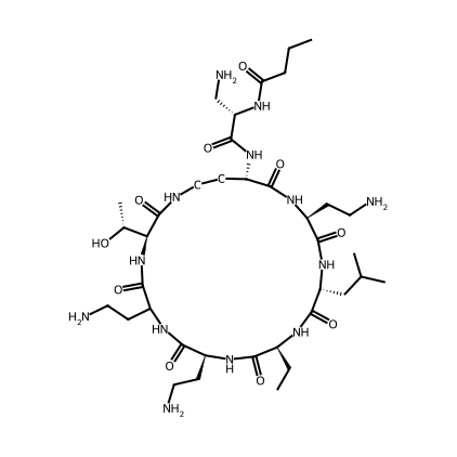 CCCC(=O)N[C@@H](CN)C(=O)N[C@H]1CCNC(=O)[C@H]([C@@H](C)O)NC(=O)C(CCN)NC(=O)[C@H](CCN)NC(=O)[C@H](CC)NC(=O)[C@@H](CC(C)C)NC(=O)[C@H](CCN)NC1=O